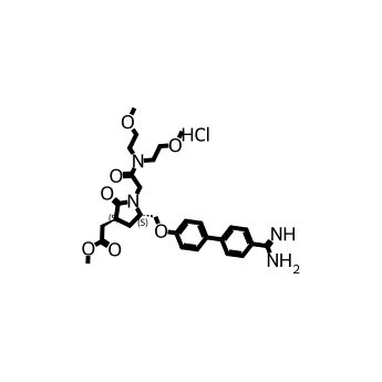 COCCN(CCOC)C(=O)CN1C(=O)[C@H](CC(=O)OC)C[C@H]1COc1ccc(-c2ccc(C(=N)N)cc2)cc1.Cl